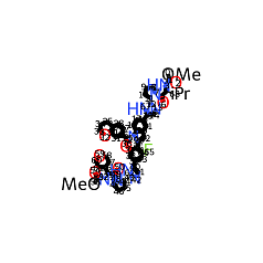 COC(=O)N[C@H](C(=O)N1CCC[C@H]1c1ncc(-c2ccc3c(c2)cc2n3C(c3ccc4c(c3)OCCC4)Oc3cc(-c4cnc([C@@H]5CCCN5C(=O)[C@@H](NC(=O)OC)C5CCOCC5)[nH]4)cc(F)c3-2)[nH]1)C(C)C